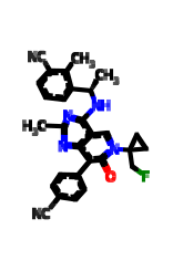 Cc1nc(N[C@H](C)c2cccc(C#N)c2C)c2cn(C3(CF)CC3)c(=O)c(-c3ccc(C#N)cc3)c2n1